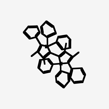 CC1=C(C2=C(C)C(C)=C(c3ccccc3)[Si]2(c2ccccc2)c2ccccc2)[Si](c2ccccc2)(c2ccccc2)C(c2ccccc2)=C1C